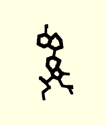 CCOC(=O)c1c(CNC)n(C)c2cc(-c3cccc4c(Cl)cccc34)ccc12